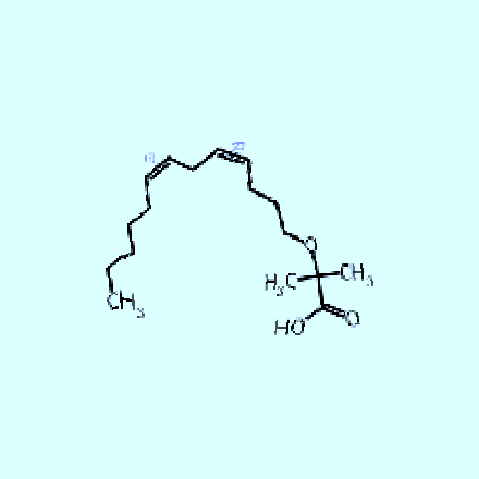 CCCCC/C=C\C/C=C\CCCOC(C)(C)C(=O)O